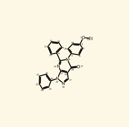 CCOc1ccc(-n2c(-c3ccccc3)nc3c(cnn3-c3ccccc3)c2=O)cc1